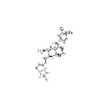 CN1CC2CCC(COc3cc4ncnc(Nc5ccc(F)c(Cl)c5)c4cc3N)C2C1